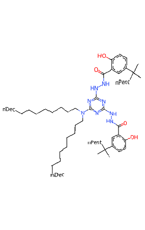 CCCCCCCCCCCCCCCCCCN(CCCCCCCCCCCCCCCCCC)c1nc(NNC(=O)c2cc(C(C)(C)CCCCC)ccc2O)nc(NNC(=O)c2cc(C(C)(C)CCCCC)ccc2O)n1